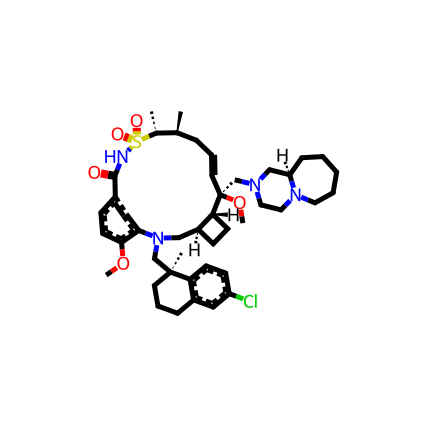 COc1ccc2cc1N(C[C@]1(C)CCCc3cc(Cl)ccc31)C[C@@H]1CC[C@H]1[C@](CN1CCN3CCCCC[C@@H]3C1)(OC)/C=C/C[C@H](C)[C@@H](C)S(=O)(=O)NC2=O